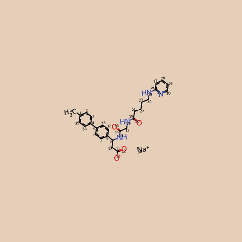 Cc1ccc(-c2ccc(C(CC(=O)[O-])NC(=O)CNC(=O)CCCCNc3ccccn3)cc2)cc1.[Na+]